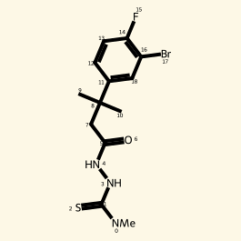 CNC(=S)NNC(=O)CC(C)(C)c1ccc(F)c(Br)c1